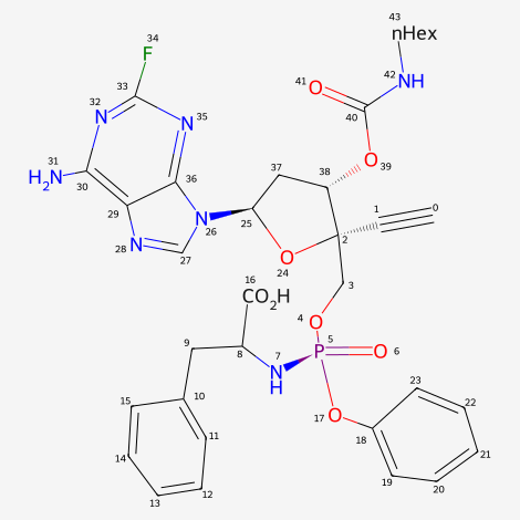 C#C[C@]1(CO[P@@](=O)(NC(Cc2ccccc2)C(=O)O)Oc2ccccc2)O[C@@H](n2cnc3c(N)nc(F)nc32)C[C@@H]1OC(=O)NCCCCCC